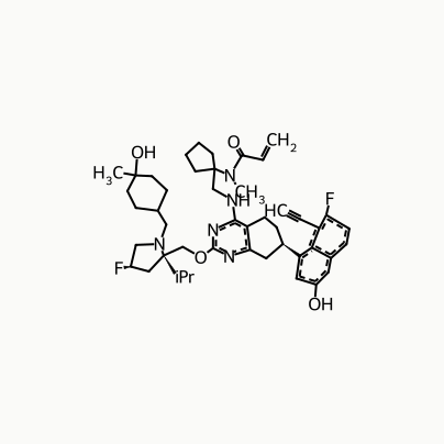 C#Cc1c(F)ccc2cc(O)cc([C@@H]3CCc4c(nc(OC[C@]5(C(C)C)C[C@@H](F)CN5CC5CCC(C)(O)CC5)nc4NCC4(N(C)C(=O)C=C)CCCC4)C3)c12